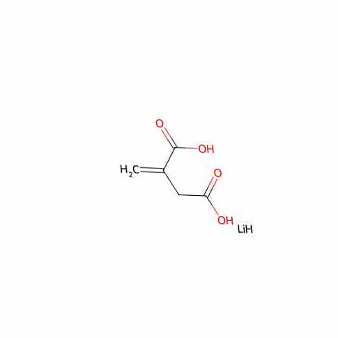 C=C(CC(=O)O)C(=O)O.[LiH]